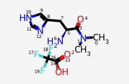 CN(C)C(=O)[C@@H](N)Cc1c[nH]cn1.O=C(O)C(F)(F)F